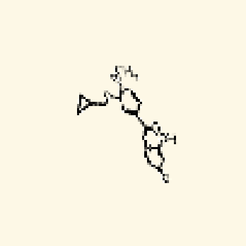 COc1ccc(C(=O)Cn2ccc(=O)cc2O)cc1OCC1CC1